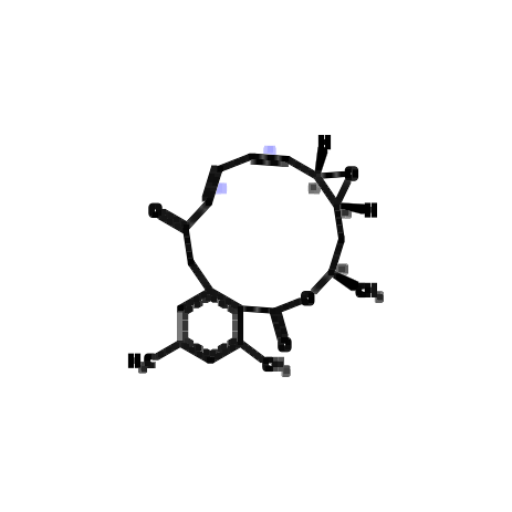 Cc1cc(C)c2c(c1)CC(=O)/C=C/C=C\[C@@H]1O[C@@H]1C[C@@H](C)OC2=O